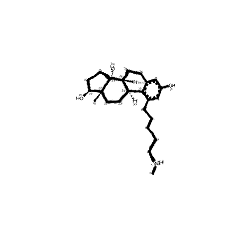 CNCCCCCc1cc(O)cc2c1[C@H]1CC[C@]3(C)[C@@H](O)CC[C@H]3[C@@H]1CC2